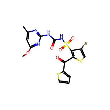 COc1cc(C)nc(NC(=O)NS(=O)(=O)c2c(Br)csc2C(=O)c2cccs2)n1